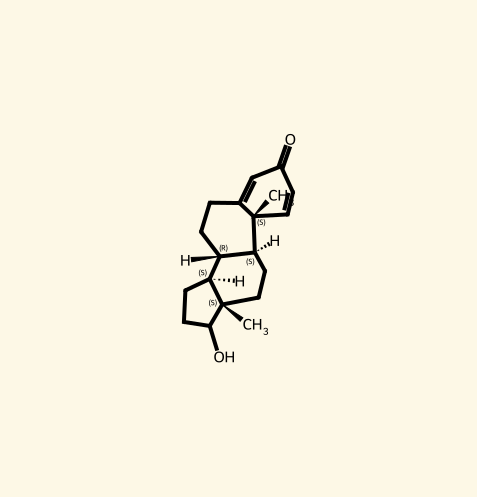 C[C@]12C=CC(=O)C=C1CC[C@@H]1[C@@H]2CC[C@]2(C)C(O)CC[C@@H]12